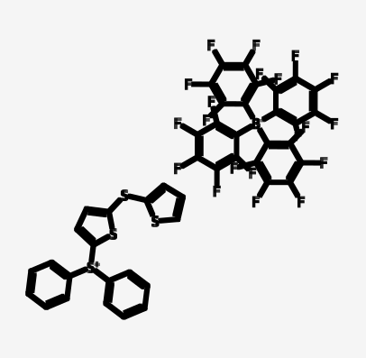 Fc1c(F)c(F)c([B-](c2c(F)c(F)c(F)c(F)c2F)(c2c(F)c(F)c(F)c(F)c2F)c2c(F)c(F)c(F)c(F)c2F)c(F)c1F.c1ccc([S+](c2ccccc2)c2ccc(Sc3cccs3)s2)cc1